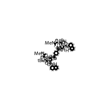 CN[C@@H](C)C(=O)N[C@H](C(=O)N1C[C@@H](NC(=O)C2CCC(C(=O)N[C@H]3C[C@@H](C(=O)N[C@@H]4CCCc5ccccc54)N(C(=O)[C@@H](NC(=O)[C@H](C)NC)C(C)(C)C)C3)CC2)C[C@H]1C(=O)N[C@@H]1CCCc2ccccc21)C(C)(C)C